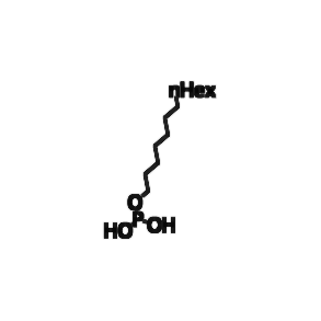 CCCCCCCCCCCCCOP(O)O